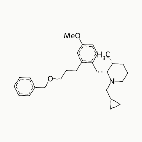 COc1ccc(C[C@@H]2[C@H](C)CCCN2CC2CC2)c(CCCOCc2ccccc2)c1